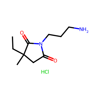 CCC1(C)CC(=O)N(CCCN)C1=O.Cl